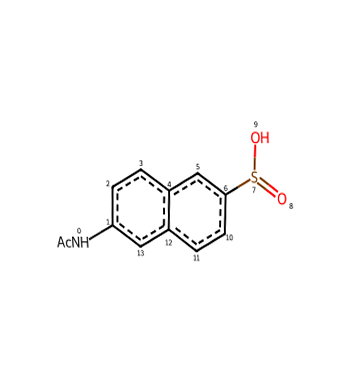 CC(=O)Nc1ccc2cc(S(=O)O)ccc2c1